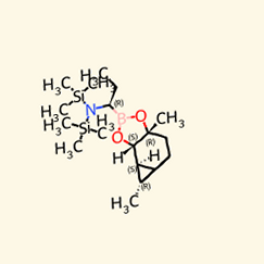 CC[C@@H](B1O[C@H]2[C@H]3C4C(C[C@@]2(C)O1)[C@]43C)N([Si](C)(C)C)[Si](C)(C)C